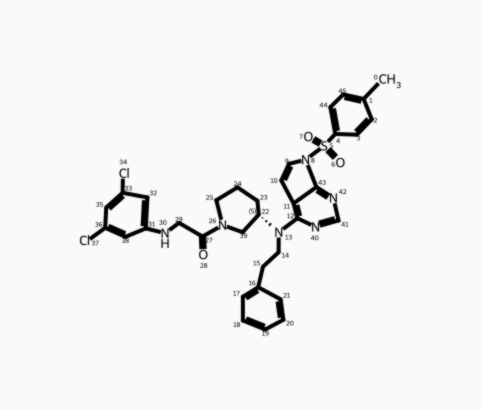 Cc1ccc(S(=O)(=O)n2ccc3c(N(CCc4ccccc4)[C@H]4CCCN(C(=O)CNc5cc(Cl)cc(Cl)c5)C4)ncnc32)cc1